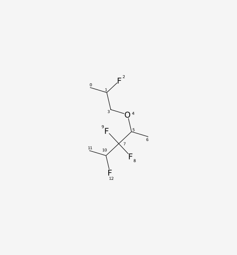 CC(F)COC(C)C(F)(F)C(C)F